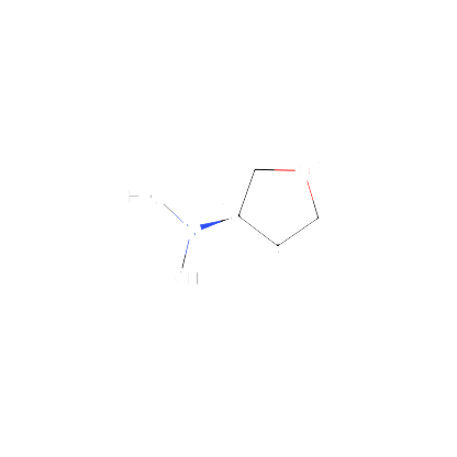 CN(C)[C@@H]1CCOC1